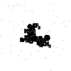 CCc1c(N2CCN(C(=O)c3ncnc(C)c3OCc3ccccc3)CC2)c(=O)n2nc(Br)nc2n1CC(=O)Nc1c(Cl)cc(C(F)(F)F)c2c1CC2